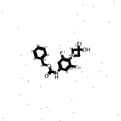 CCC1(O)CN(c2c(F)cc(NC(=O)OCc3ccccc3)cc2F)C1